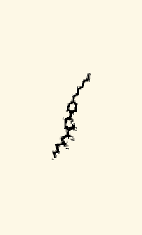 CCCCCCCC1CCC(c2ccc(C(=O)CC(=O)CCCC)cc2)CC1